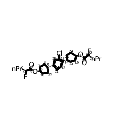 CCC[C@H](F)C(=O)O[C@H]1CC[C@H](c2ccc([C@H]3CC[C@H](OC(=O)[C@@H](F)CCC)CC3)c(Cl)c2)CC1